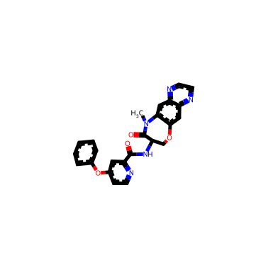 CN1C(=O)C(NC(=O)c2cc(Oc3ccccc3)ccn2)COc2cc3nccnc3cc21